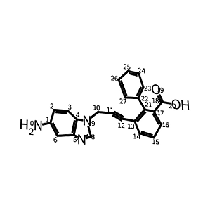 Nc1ccc2c(c1)ncn2CC#Cc1cccc(C(=O)O)c1-c1ccccc1